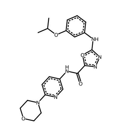 CC(C)Oc1cccc(Nc2nnc(C(=O)Nc3ccc(N4CCOCC4)nc3)o2)c1